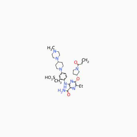 C=CC(=O)N1CC[C@@H](Oc2nc(Nc3ccc(N4CCC(N5CCN(C)CC5)CC4)cc3)c(C(N)=O)nc2CC)C1.CS(=O)(=O)O